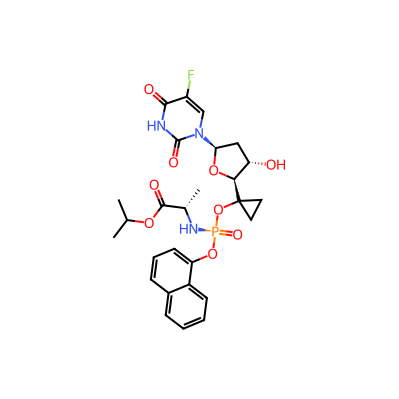 CC(C)OC(=O)[C@H](C)N[P@@](=O)(Oc1cccc2ccccc12)OC1([C@H]2O[C@@H](n3cc(F)c(=O)[nH]c3=O)C[C@@H]2O)CC1